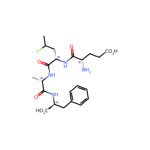 CC(F)C[C@H](NC(=O)[C@@H](N)CCC(=O)O)C(=O)N[C@@H](C)C(=O)N[C@@H](Cc1ccccc1)C(=O)O